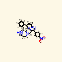 O=[N+]([O-])c1ccc(-c2nc3ccc(-c4ccccc4)cn3c2CN2CCCNCC2)cc1